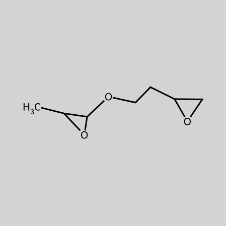 CC1OC1OCCC1CO1